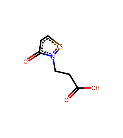 O=C(O)CCn1sccc1=O